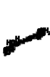 CC1(C)OCc2cc([C@H](O)CNCCCCCCOCCCc3cccc(S(N)(=O)=O)c3)ccc2O1